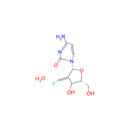 Nc1ccn([C@@H]2O[C@H](CO)C(O)/C2=C\F)c(=O)n1.O